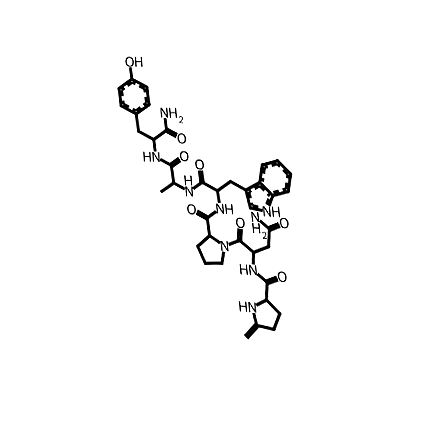 C=C1CCC(C(=O)NC(CC(N)=O)C(=O)N2CCCC2C(=O)NC(Cc2c[nH]c3ccccc23)C(=O)NC(C)C(=O)NC(Cc2ccc(O)cc2)C(N)=O)N1